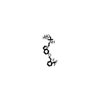 CC(CO)(CO)NCCn1ccc2ccc(OCCc3ccccc3C(F)(F)F)cc21